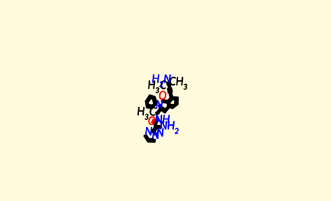 C[C@@H](NC(=O)c1c(N)nn2cccnc12)c1cc2cccc(C#CC(C)(C)N)c2c(=O)n1-c1ccccc1